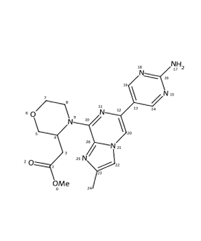 COC(=O)CC1COCCN1c1nc(-c2cnc(N)nc2)cn2cc(C)nc12